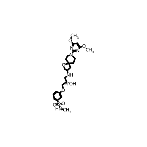 CNS(=O)(=O)c1cccc(OC[C@@H](O)CNC2COC3(CCN(c4nc(OC)cc(OC)n4)CC3)C2)c1